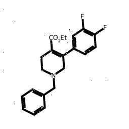 CCOC(=O)C1=C(c2ccc(F)c(F)c2)CN(Cc2ccccc2)CC1